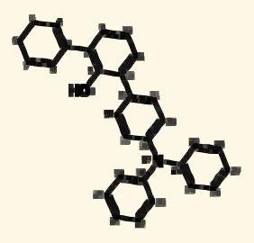 Oc1c(C2=CCCC=C2)cccc1-c1ccc(N(c2ccccc2)c2ccccc2)cc1